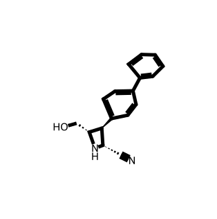 N#C[C@@H]1N[C@H](CO)[C@H]1c1ccc(-c2ccccc2)cc1